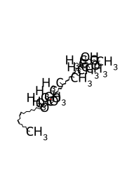 CCCCC/C=C\C/C=C\CCCCCCCC(=O)OC1CC(C)(C)C2(CC(=O)/C(C)=C/C=C/C(C)=C/C=C/C=C(C)/C=C/C=C(\C)C=C=C3C(C)(C)CC(OC(C)=O)C[C@@]3(C)O)OC2(C)C1